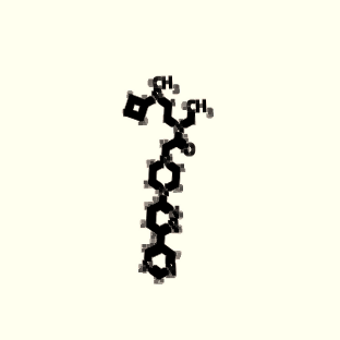 CCN(CCN(C)C1CCC1)C(=O)CN1CCN(c2ccc(-c3cncnc3)nn2)CC1